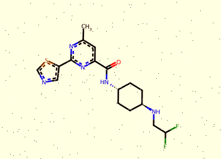 Cc1cc(C(=O)N[C@H]2CC[C@H](NCC(F)F)CC2)nc(-c2cncs2)n1